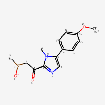 CC[S+]([O-])CC(=O)c1ncc(-c2ccc(OC(F)(F)F)cc2)n1C